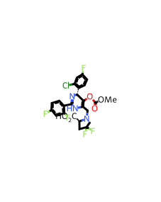 COC(=O)OC1=C(CN2CC(F)(F)C[C@H]2C(=O)O)NC(c2ccc(F)cc2F)=N[C@@H]1c1ccc(F)cc1Cl